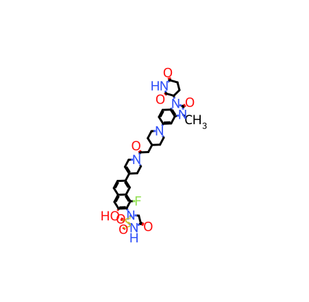 Cn1c(=O)n(C2CCC(=O)NC2=O)c2ccc(N3CCC(CC(=O)N4CC=C(c5ccc6cc(O)c(N7CC(=O)NS7(=O)=O)c(F)c6c5)CC4)CC3)cc21